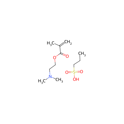 C=C(C)C(=O)OCCN(C)C.CCCS(=O)(=O)O